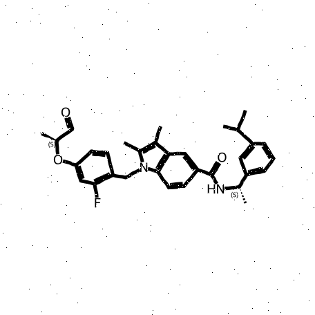 Cc1c(C)n(Cc2ccc(O[C@@H](C)C=O)cc2F)c2ccc(C(=O)N[C@@H](C)c3cccc(C(C)C)c3)cc12